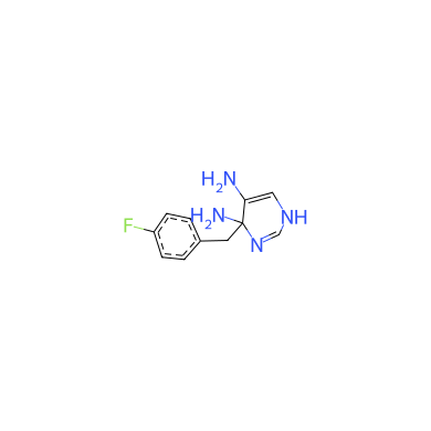 NC1=CNC=NC1(N)Cc1ccc(F)cc1